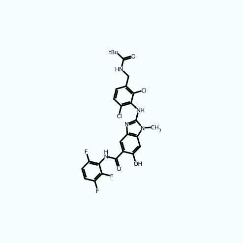 Cn1c(Nc2c(Cl)ccc(CNC(=O)C(C)(C)C)c2Cl)nc2cc(C(=O)Nc3c(F)ccc(F)c3F)c(O)cc21